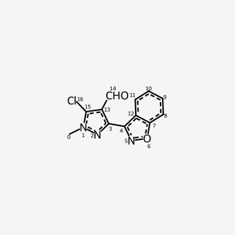 Cn1nc(-c2noc3ccccc23)c(C=O)c1Cl